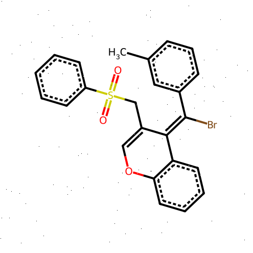 Cc1cccc(/C(Br)=C2\C(CS(=O)(=O)c3ccccc3)=COc3ccccc32)c1